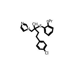 CCCc1ccccc1SC(C)(CCc1ccc(Cl)cc1)Cn1ccnc1